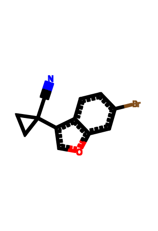 N#CC1(c2coc3cc(Br)ccc23)CC1